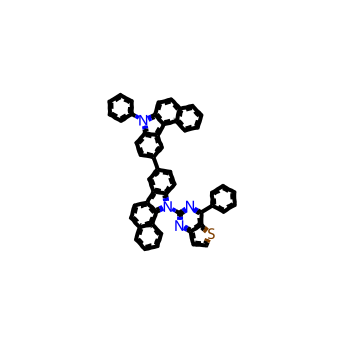 c1ccc(-c2nc(-n3c4ccc(-c5ccc6c(c5)c5c7ccccc7ccc5n6-c5ccccc5)cc4c4ccc5ccccc5c43)nc3ccsc23)cc1